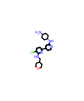 N[C@H]1CC[C@H](Nc2cc(-c3ccc(Cl)c(NCC4CCOCC4)n3)ccn2)CC1